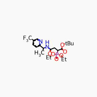 CCOP(=O)(OCC)C(CC(=O)NC(C)c1ccc(C(F)(F)F)cn1)C(=O)OC(C)(C)C